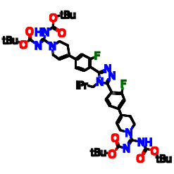 CC(C)Cn1c(-c2ccc(C3=CCN(/C(=N\C(=O)OC(C)(C)C)NC(=O)OC(C)(C)C)CC3)cc2F)nnc1-c1ccc(C2=CCN(/C(=N/C(=O)OC(C)(C)C)NC(=O)OC(C)(C)C)CC2)cc1F